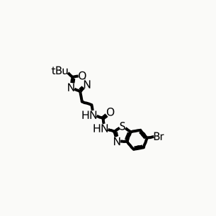 CC(C)(C)c1nc(CCNC(=O)Nc2nc3ccc(Br)cc3s2)no1